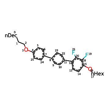 CCCCCCCCCCCCOc1ccc(-c2ccc(-c3ccc(OCCCCCC)c(F)c3F)cc2)cc1